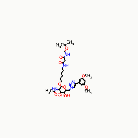 COc1cc(OC)cc(-c2cn(CC3OC(OCCCCCCNC(=O)CC(=O)NCOC(C)C)C(NC(C)=O)C(O)C3O)nn2)c1